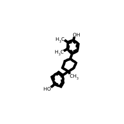 Cc1c(O)ccc(C2CCC(C)(c3ccc(O)cc3)CC2)c1C